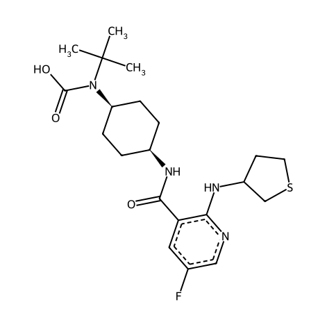 CC(C)(C)N(C(=O)O)[C@H]1CC[C@@H](NC(=O)c2cc(F)cnc2NC2CCSC2)CC1